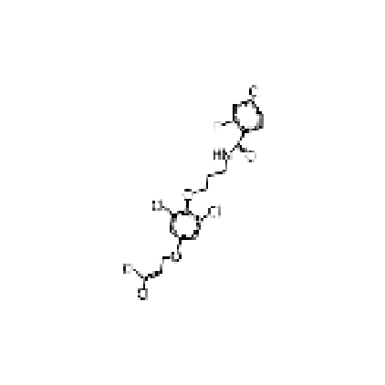 O=C(NCCCOc1c(Cl)cc(OCC=C(Cl)Cl)cc1Cl)c1ccc(Cl)cc1F